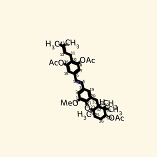 COc1cc(/C=C/c2cc(OC(C)=O)c(CC=C(C)C)c(OC(C)=O)c2)cc2c1O[C@]1(C)CC[C@@H](OC(C)=O)C(C)(C)[C@H]1C2